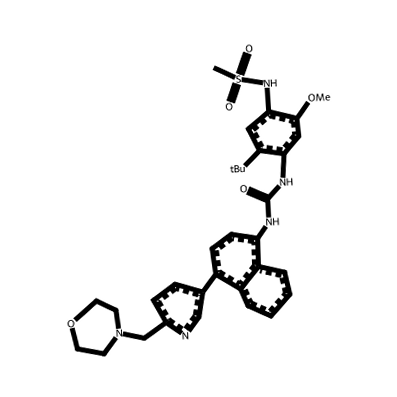 COc1cc(NC(=O)Nc2ccc(-c3ccc(CN4CCOCC4)nc3)c3ccccc23)c(C(C)(C)C)cc1NS(C)(=O)=O